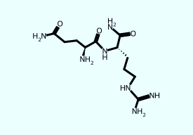 N=C(N)NCCC[C@H](NC(=O)[C@@H](N)CCC(N)=O)C(N)=O